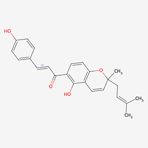 CC(C)=CCC1(C)C=Cc2c(ccc(C(=O)/C=C/c3ccc(O)cc3)c2O)O1